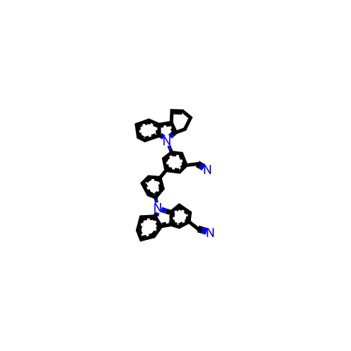 N#Cc1cc(-c2cccc(-n3c4ccccc4c4cc(C#N)ccc43)c2)cc(-n2c3c(c4ccccc42)C=CCC3)c1